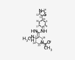 CNC1=C(C(=N)Nc2ccc(-c3cncs3)cc2)CN(C(C)=O)CC1